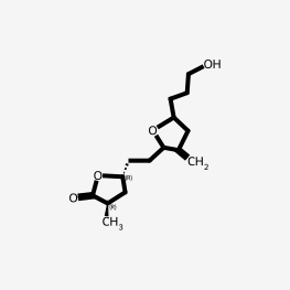 C=C1CC(CCCO)OC1CC[C@@H]1C[C@@H](C)C(=O)O1